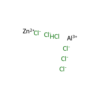 Cl.[Al+3].[Cl-].[Cl-].[Cl-].[Cl-].[Cl-].[Zn+2]